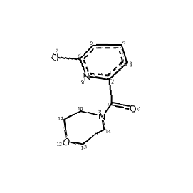 O=C(c1cccc(Cl)n1)N1CCOCC1